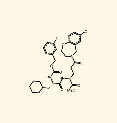 COC(=O)[C@H](CCC(=O)N1CCOc2ccc(Cl)cc2C1)NC(=O)[C@H](CC1CCCCC1)NC(=O)OCc1cccc(Cl)c1